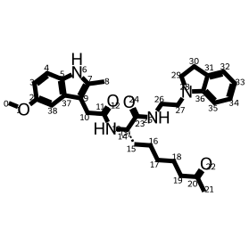 COc1ccc2[nH]c(C)c(CC(=O)N[C@@H](CCCCCC(C)=O)C(=O)NCCN3CCc4ccccc43)c2c1